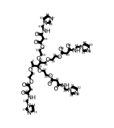 CC(OCCOC(=O)CC(=O)NCn1ccnc1)C(OCCOC(=O)CC(=O)NCn1ccnc1)C(COCCOC(=O)CC(=O)NCn1ccnc1)OCCOC(=O)CC(=O)NCn1ccnc1